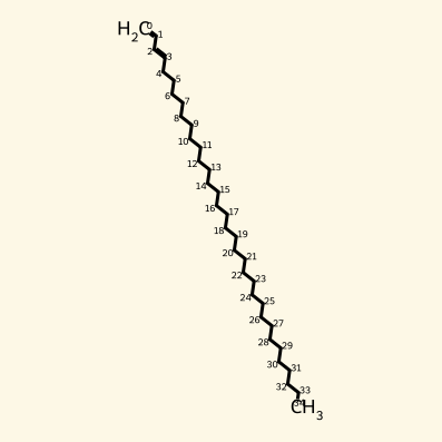 C=CC=CCCCCCCCCCCCCCCCCCCCCCCCCCCCCCCC